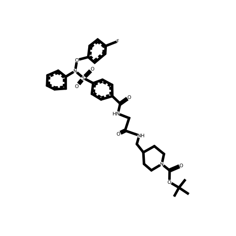 CC(C)(C)OC(=O)N1CCC(CNC(=O)CNC(=O)c2ccc(S(=O)(=O)N(Oc3ccc(F)cc3)c3ccccc3)cc2)CC1